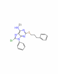 CCNc1nc(SCCCc2ccccc2)nc2c1nc(Br)n2-c1ccccc1